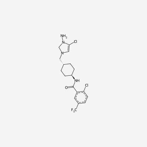 NN1CN(C[C@H]2CC[C@H](NC(=O)c3cc(C(F)(F)F)ccc3Cl)CC2)C=C1Cl